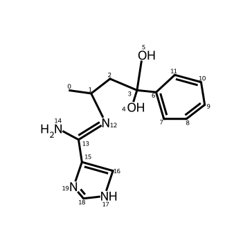 CC(CC(O)(O)c1ccccc1)N=C(N)c1c[nH]cn1